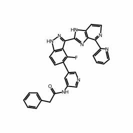 O=C(Cc1ccccc1)Nc1cncc(-c2ccc3[nH]nc(-c4nc5c(-c6ccccn6)nccc5[nH]4)c3c2F)c1